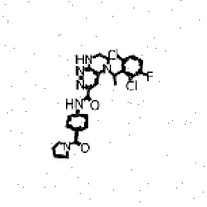 CC(c1c(Cl)ccc(F)c1Cl)N1CCNc2nnc(C(=O)Nc3ccc(C(=O)N4CCCC4)cc3)cc21